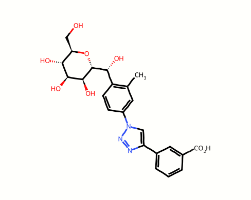 Cc1cc(-n2cc(-c3cccc(C(=O)O)c3)nn2)ccc1[C@@H](O)[C@H]1O[C@H](CO)[C@@H](O)[C@H](O)[C@@H]1O